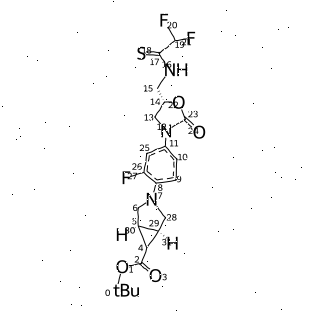 CC(C)(C)OC(=O)C1[C@H]2CN(c3ccc(N4C[C@H](CNC(=S)C(F)F)OC4=O)cc3F)C[C@@H]12